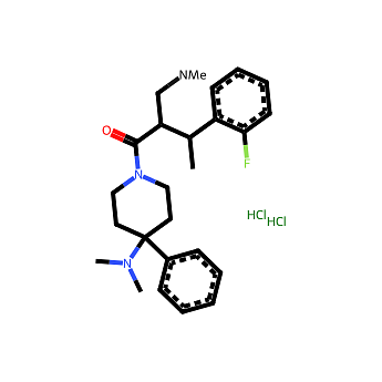 CNCC(C(=O)N1CCC(c2ccccc2)(N(C)C)CC1)C(C)c1ccccc1F.Cl.Cl